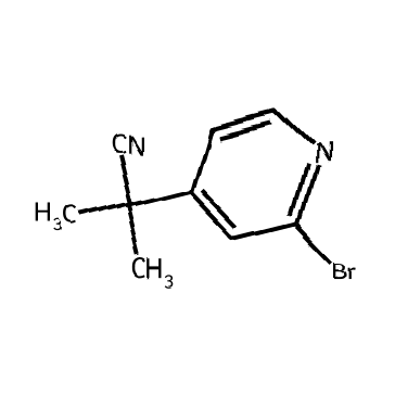 CC(C)(C#N)c1ccnc(Br)c1